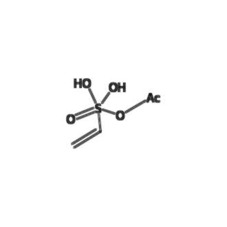 C=CS(=O)(O)(O)OC(C)=O